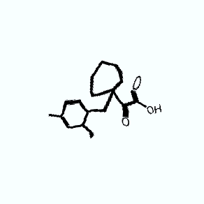 CC1=CC(C)C(CC2(C(=O)C(=O)O)CCCCC2)CC1